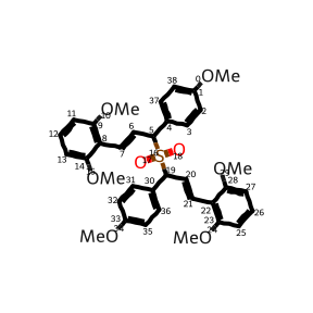 COc1ccc(C(C=Cc2c(OC)cccc2OC)S(=O)(=O)C(C=Cc2c(OC)cccc2OC)c2ccc(OC)cc2)cc1